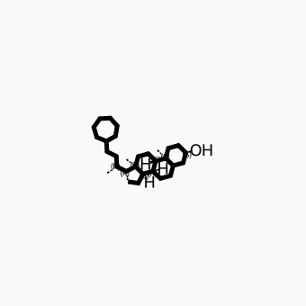 C[C@H](CCC1CCCCCC1)[C@H]1CC[C@H]2[C@@H]3CCC4C[C@@H](O)CC[C@]4(C)[C@H]3CC[C@]12C